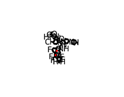 CN1CCN(c2ccc3c(=O)n(-c4ccc(Cl)c5c(NS(C)(=O)=O)nn(C)c45)c([C@H](Cc4cc(F)cc(F)c4)NC(=O)Cn4nc(C(F)F)c5c4C(F)(F)[C@@H]4C[C@H]54)nc3c2)CC1